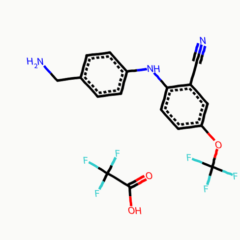 N#Cc1cc(OC(F)(F)F)ccc1Nc1ccc(CN)cc1.O=C(O)C(F)(F)F